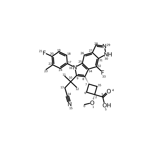 CO[C@]1(C(=O)O)C[C@H](c2c(C(C)(C)CC#N)n(-c3ccc(F)c(C)c3)c3cc4cn[nH]c4c(F)c32)C1